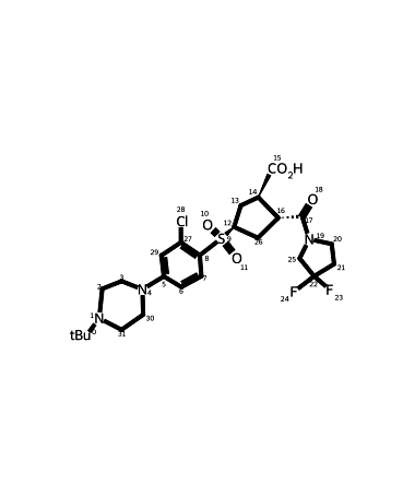 CC(C)(C)N1CCN(c2ccc(S(=O)(=O)[C@H]3C[C@@H](C(=O)O)[C@H](C(=O)N4CCC(F)(F)C4)C3)c(Cl)c2)CC1